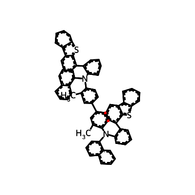 Cc1cc(-c2ccc(N(c3ccccc3-c3cccc4c3sc3ccccc34)c3cccc4ccccc34)c(C)c2)ccc1N(c1ccccc1-c1cccc2c1sc1ccccc12)c1cccc2ccccc12